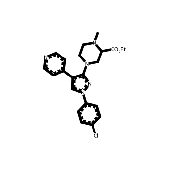 CCOC(=O)C1CN(c2nn(-c3ccc(Cl)cc3)cc2-c2ccncc2)CCN1C